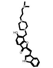 CN(C)CCCN1CCN(Cc2c(O)ccc3c2OC(=Cc2c[nH]c4ccccc24)C3=O)CC1